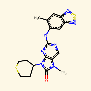 Cc1cc2nsnc2cc1Nc1ncc2c(n1)n(C1CCSCC1)c(=O)n2C